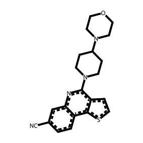 N#Cc1ccc2c(c1)nc(N1CCC(N3CCOCC3)CC1)c1ccsc12